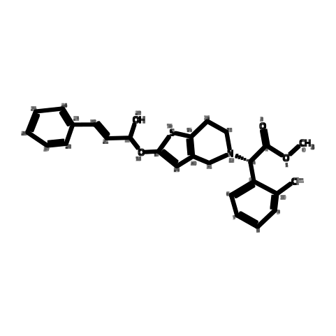 COC(=O)[C@H](c1ccccc1Cl)N1CCc2sc(OC(O)/C=C/c3ccccc3)cc2C1